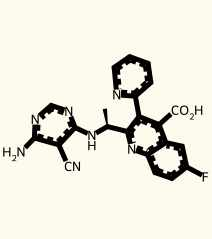 C[C@H](Nc1ncnc(N)c1C#N)c1nc2ccc(F)cc2c(C(=O)O)c1-c1ccccn1